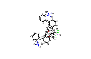 CC1=Cc2c(-c3ccccc3[N+](C)(C)C)cccc2[CH]1[Zr]([Cl])([Cl])([I])([I])([CH]1C(C)=Cc2c(-c3ccccc3[N+](C)(C)C)cccc21)[SiH](C)C